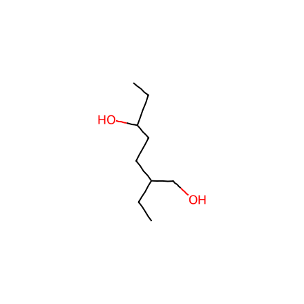 CCC(O)CCC(CC)CO